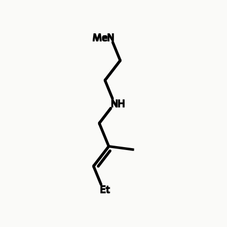 CC/C=C(\C)CNCCNC